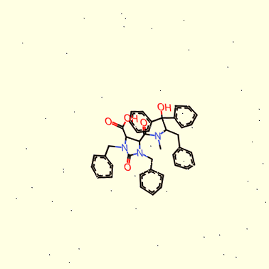 CN(C(=O)C1C(C(=O)O)N(Cc2ccccc2)C(=O)N1Cc1ccccc1)C(Cc1ccccc1)C(O)(c1ccccc1)c1ccccc1